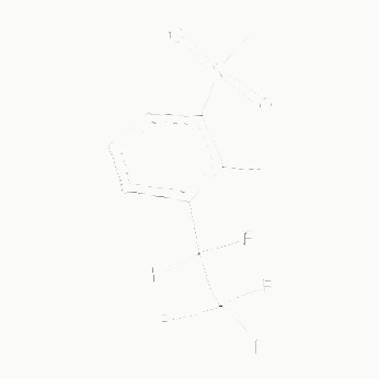 Cc1c(C(F)(F)C(F)(F)F)cccc1S(C)(=O)=O